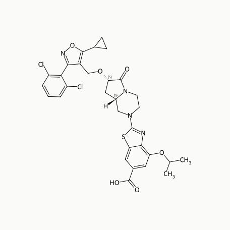 CC(C)Oc1cc(C(=O)O)cc2sc(N3CCN4C(=O)[C@@H](OCc5c(-c6c(Cl)cccc6Cl)noc5C5CC5)C[C@H]4C3)nc12